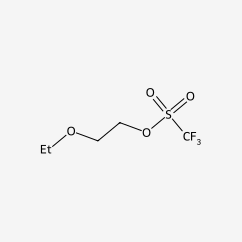 CCOCCOS(=O)(=O)C(F)(F)F